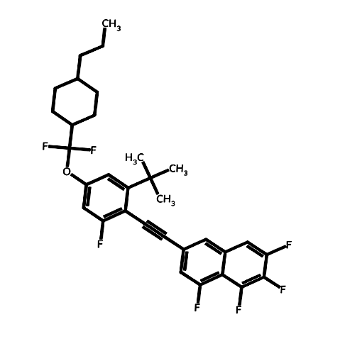 CCCC1CCC(C(F)(F)Oc2cc(F)c(C#Cc3cc(F)c4c(F)c(F)c(F)cc4c3)c(C(C)(C)C)c2)CC1